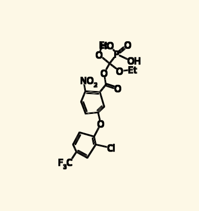 CCOC(OCC)(OC(=O)c1cc(Oc2ccc(C(F)(F)F)cc2Cl)ccc1[N+](=O)[O-])P(=O)(O)O